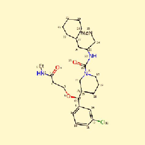 CCNC(=O)CCO[C@H](c1cccc(Cl)c1)[C@@H]1CCCN(C(=O)NC(CNC)CC2CCCCC2)C1